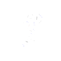 Cc1cc(N2CCOCC2)ccc1NC(=S)NC1N=C(c2ccncc2)c2cc(Cl)ccc2N(C)C1=O